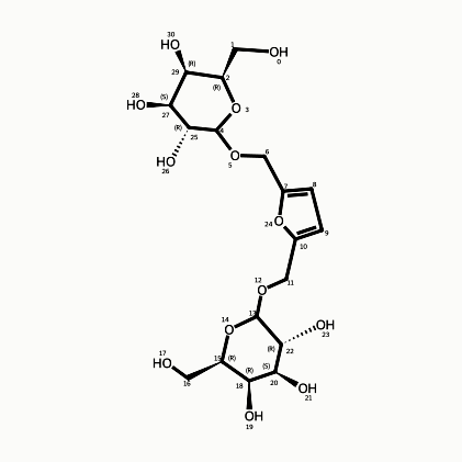 OC[C@H]1OC(OCc2ccc(COC3O[C@H](CO)[C@H](O)[C@H](O)[C@H]3O)o2)[C@H](O)[C@@H](O)[C@H]1O